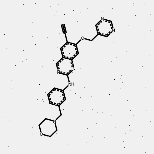 C#Cc1cc2cnc(Nc3cccc(CN4CCOCC4)c3)nc2cc1OCc1cncnc1